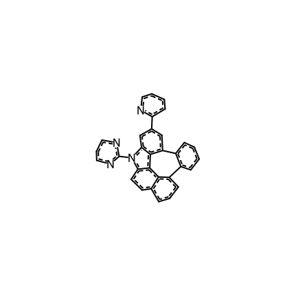 c1ccc(-c2cc3c4c5c6c(cccc6ccc5n(-c5ncccn5)c4c2)-c2ccccc2-3)nc1